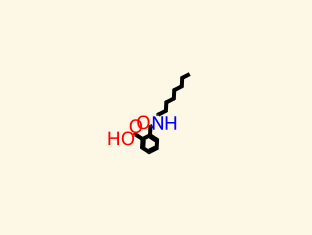 CCCCCCCCNC(=O)c1ccccc1C(=O)O